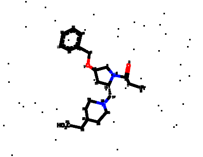 CC(C)CC(=O)N1CC(OCc2ccccc2)C[C@H]1CN1CCC(CC(=O)O)CC1